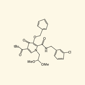 COC(Cn1cc(C(=O)C(C)(C)C)c(=O)c(OCc2ccccc2)c1C(=O)NCc1cccc(Cl)c1)OC